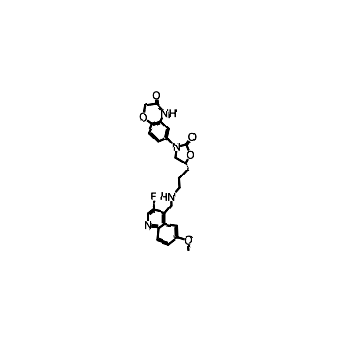 COc1ccc2ncc(F)c(CNCCC[C@@H]3CN(c4ccc5c(c4)NC(=O)CO5)C(=O)O3)c2c1